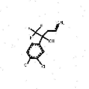 C=CCC(O)(c1ccc(Cl)c(Cl)c1)C(F)(F)F